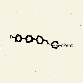 CCCCC[Si@H]1CC[C@H](CCC2CCC(c3ccc(-c4ccc(F)cc4)cc3)CC2)CC1